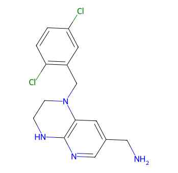 NCc1cnc2c(c1)N(Cc1cc(Cl)ccc1Cl)CCN2